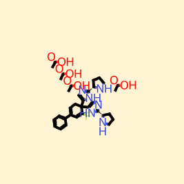 CC(=O)O.CC(=O)O.CC(=O)O.CC(=O)O.FC1=CC(c2ccccc2)=CCC1(c1cnc([C@@H]2CCCN2)[nH]1)c1cnc([C@@H]2CCCN2)[nH]1